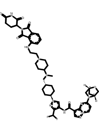 CN(C[C@H]1CC[C@H](n2cc(NC(=O)c3cnn4ccc(N5C[C@H]6C[C@@H]5CO6)nc34)c(C(F)F)n2)CC1)C1CCN(CCNc2cccc3c2C(=O)N(C2CCC(=O)NC2=O)C3=O)CC1